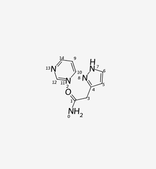 NC(=O)Cc1cc[nH]n1.c1cncnc1